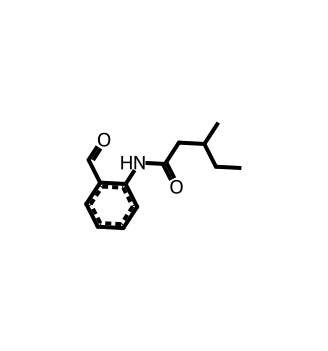 CCC(C)CC(=O)Nc1ccccc1C=O